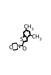 Cc1cc(C)c2cc(C(=O)N3CCOCC3)sc2c1